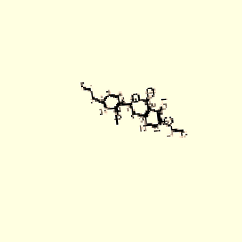 CCCc1ccc(C2Cc3ccc(OCC)c(F)c3C(=O)O2)c(F)c1